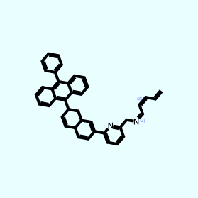 C=C/C=C\C=N/Cc1cccc(C2=CC3CC(c4c5ccccc5c(-c5ccccc5)c5ccccc45)C=CC3C=C2)n1